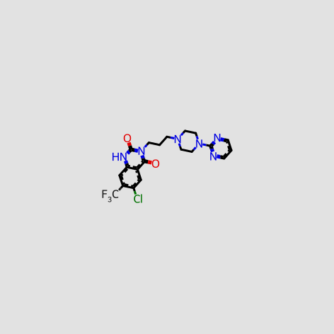 O=c1[nH]c2cc(C(F)(F)F)c(Cl)cc2c(=O)n1CCCN1CCN(c2ncccn2)CC1